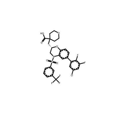 O=C(O)C1(C[C@H]2CN(S(=O)(=O)c3cccc(C(F)(F)F)c3)c3cc(-c4cc(Cl)cc(F)c4F)ccc3O2)CCOCC1